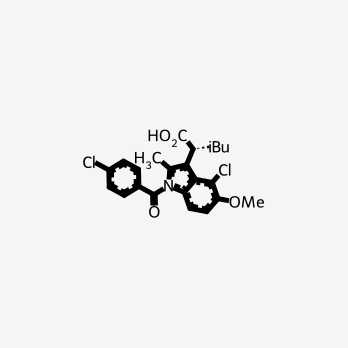 CCC(C)[C@@H](C(=O)O)c1c(C)n(C(=O)c2ccc(Cl)cc2)c2ccc(OC)c(Cl)c12